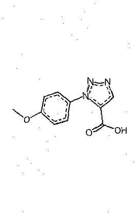 COc1ccc(-n2nncc2C(=O)O)cc1